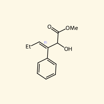 CC/C=C(\c1ccccc1)C(O)C(=O)OC